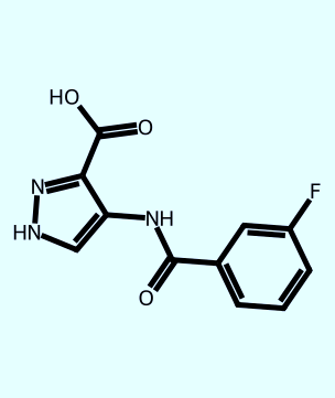 O=C(Nc1c[nH]nc1C(=O)O)c1cccc(F)c1